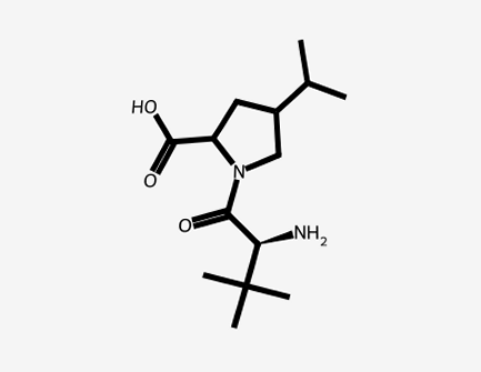 CC(C)C1CC(C(=O)O)N(C(=O)[C@@H](N)C(C)(C)C)C1